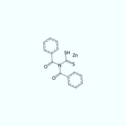 O=C(c1ccccc1)N(C(=O)c1ccccc1)C(=S)S.[Zn]